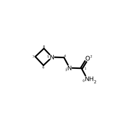 NC(=O)[N]CN1CCC1